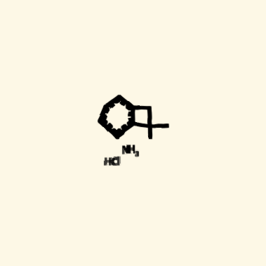 CC1(C)Cc2ccccc21.Cl.N